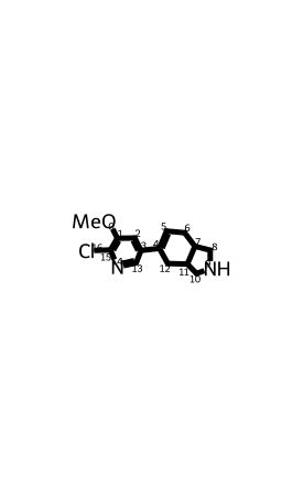 COc1cc(C2=CCC3CNCC3C2)cnc1Cl